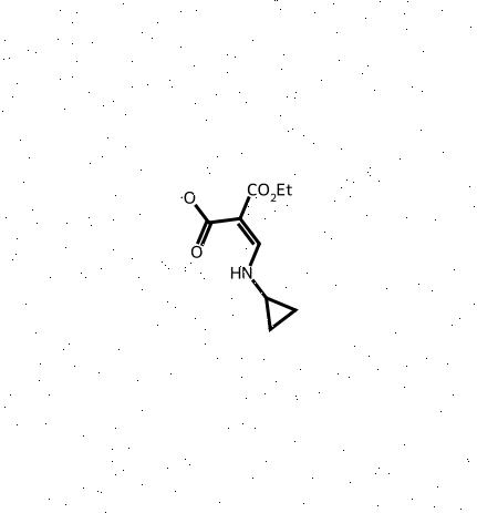 CCOC(=O)C(=CNC1CC1)C([O])=O